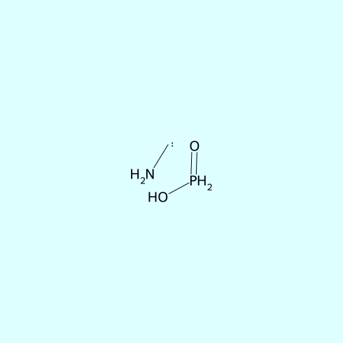 O=[PH2]O.[CH]N